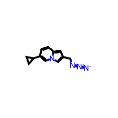 [N-]=[N+]=NCc1cc2ccc(C3CC3)cn2c1